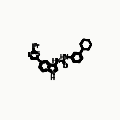 CC(C)c1ncc(-c2ccc3[nH]cc(NC(=O)Nc4cccc(C5CCCCC5)c4)c3c2)s1